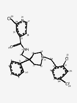 O=C(NCC1(c2ccccc2)CCN(Cc2ccc(Cl)cc2Cl)CC1)c1ccnc(Cl)c1